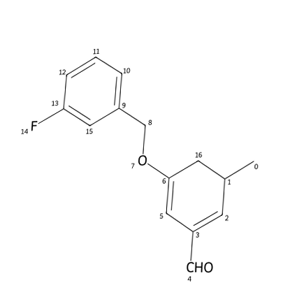 CC1C=C(C=O)C=C(OCc2cccc(F)c2)C1